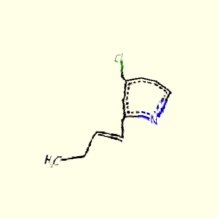 CCC=Cc1cc(Cl)ccn1